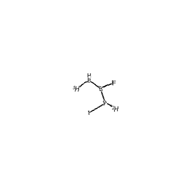 [2H]P(I)B(F)B[3H]